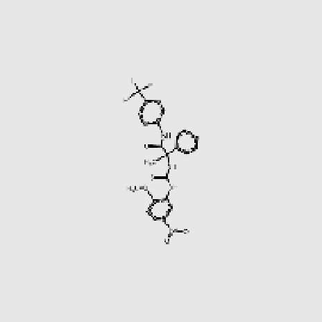 COc1ccc([N+](=O)[O-])cc1NC(=S)NC(C)(C(=O)Nc1ccc(C(F)(F)F)cc1)c1ccccc1